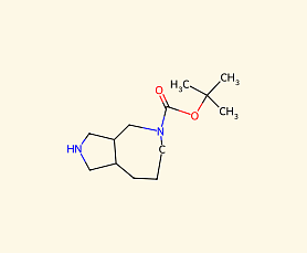 CC(C)(C)OC(=O)N1CCCC2CNCC2C1